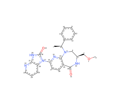 COC[C@@H]1CN([C@@H](C)c2ccccc2)c2nc(-n3c(=O)[nH]c4ncccc43)ccc2C(=O)N1